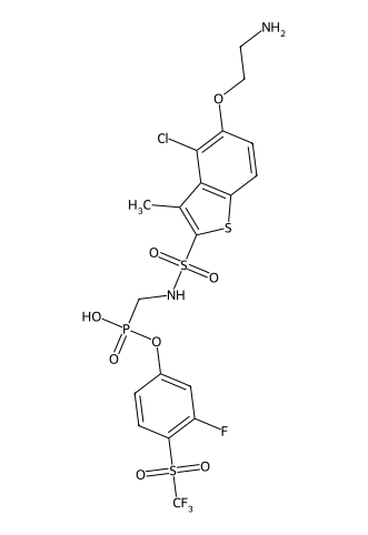 Cc1c(S(=O)(=O)NCP(=O)(O)Oc2ccc(S(=O)(=O)C(F)(F)F)c(F)c2)sc2ccc(OCCN)c(Cl)c12